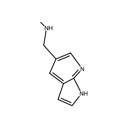 CNCc1cnc2[nH]ccc2c1